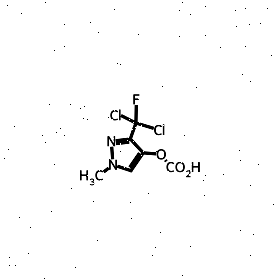 Cn1cc(OC(=O)O)c(C(F)(Cl)Cl)n1